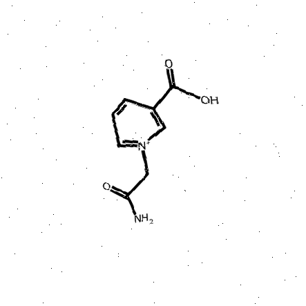 NC(=O)C[n+]1cccc(C(=O)O)c1